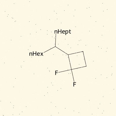 CCCCCCCC(CCCCCC)C1CCC1(F)F